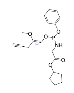 C#CC/C(=C/OP(NCC(=O)OC1CCCC1)Oc1ccccc1)OC